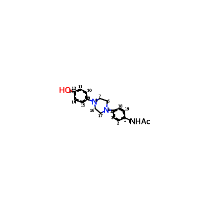 CC(=O)Nc1ccc(N2CCN(c3ccc(O)cc3)CC2)cc1